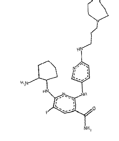 NC(=O)c1cc(F)c(NC2CCCCC2N)nc1Nc1ccc(NCCCN2CCOCC2)nc1